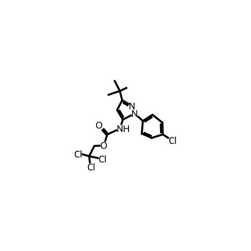 CC(C)(C)c1cc(NC(=O)OCC(Cl)(Cl)Cl)n(-c2ccc(Cl)cc2)n1